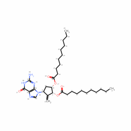 C=C1[C@@H](OC(=O)CCCCCCCCCC)[C@@H](OC(=O)CCCCCCCCCC)C[C@@H]1n1cnc2c(=O)[nH]c(N)nc21